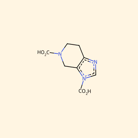 O=C(O)N1CCc2ncn(C(=O)O)c2C1